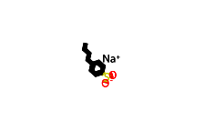 CCCCc1ccc(S(=O)[O-])cc1.[Na+]